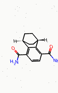 NC(=O)c1ccc(C(N)=O)c2c1[C@H]1CC[C@H]2CC1